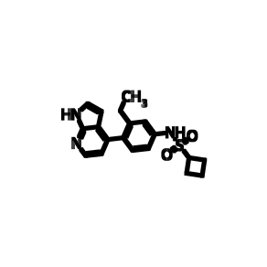 CCc1cc(NS(=O)(=O)C2CCC2)ccc1-c1ccnc2[nH]ccc12